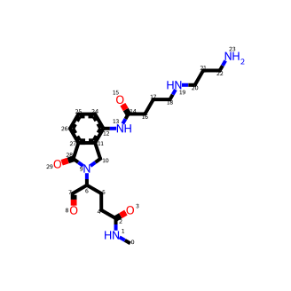 CNC(=O)CCC(C=O)N1Cc2c(NC(=O)CCCNCCCN)cccc2C1=O